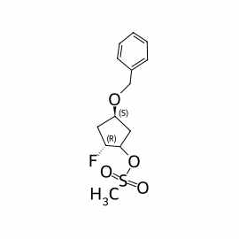 CS(=O)(=O)OC1C[C@H](OCc2ccccc2)C[C@H]1F